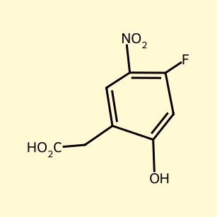 O=C(O)Cc1cc([N+](=O)[O-])c(F)cc1O